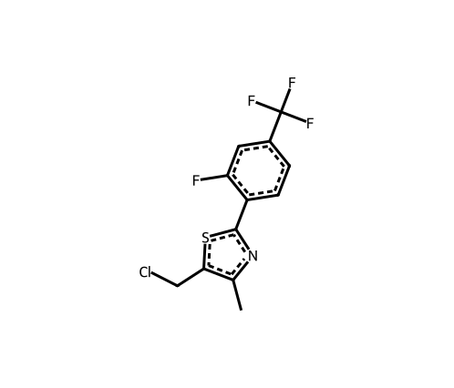 Cc1nc(-c2ccc(C(F)(F)F)cc2F)sc1CCl